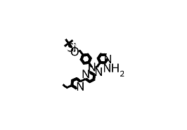 CCc1ccc(-c2ccc3nc(-c4cccnc4N)n(-c4ccc(CO[Si](C)(C)C(C)(C)C)cc4)c3n2)nc1